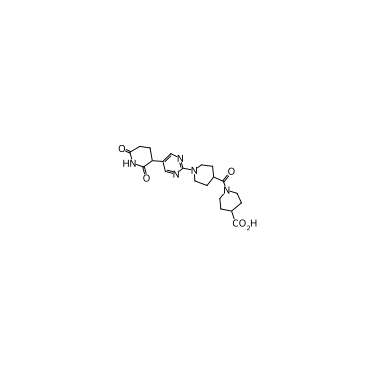 O=C1CCC(c2cnc(N3CCC(C(=O)N4CCC(C(=O)O)CC4)CC3)nc2)C(=O)N1